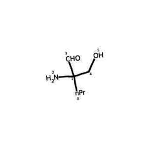 CCCC(N)(C=O)CO